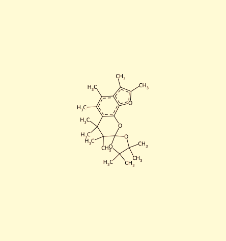 Cc1oc2c3c(c(C)c(C)c2c1C)C(C)(C)C(C)(C)C1(O3)OC(C)(C)C(C)(C)O1